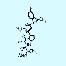 CNC(C)C(=O)N[C@H](C(=O)N1CCCC1c1cc(-n2cc(C)c3cc(F)ccc32)nc(C)n1)C(C)C